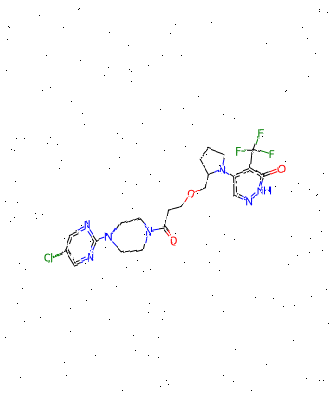 O=C(CCOCC1CCCN1c1cn[nH]c(=O)c1C(F)(F)F)N1CCN(c2ncc(Cl)cn2)CC1